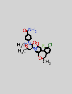 CO[C@@H](C)C[C@@H](C(=O)Nc1ccc(C(N)=O)cc1)n1cc2c(cc1=O)-c1c(ccc(Cl)c1F)C[C@@H](C)OC2